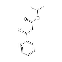 CC(C)OC(=O)CC(=O)c1ccccn1